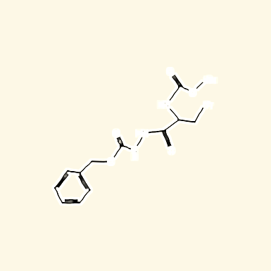 CC(C)CC(NC(=O)OC(C)(C)C)C(=O)NNC(=O)OCc1ccccc1